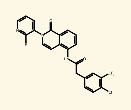 O=C(Cc1ccc(Cl)c(C(F)(F)F)c1)Nc1cccc2c(=O)n(-c3cccnc3F)ccc12